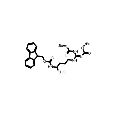 CC(C)(C)OC(=O)N=C(NCCCC(C=O)NC(=O)OCC1c2ccccc2-c2ccccc21)NC(=O)OC(C)(C)C